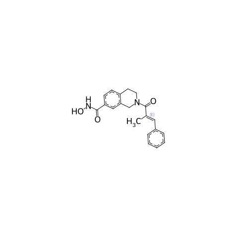 C/C(=C\c1ccccc1)C(=O)N1CCc2ccc(C(=O)NO)cc2C1